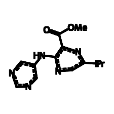 COC(=O)c1nc(C(C)C)cnc1Nc1cncnc1